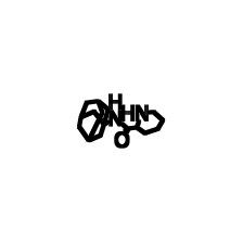 O=C(NC12CC3CC(CC(C3)C1)C2)C1CCCCN1